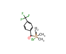 C=S(C)(C)(Br)C(=O)c1ccc(C(F)(F)F)cc1